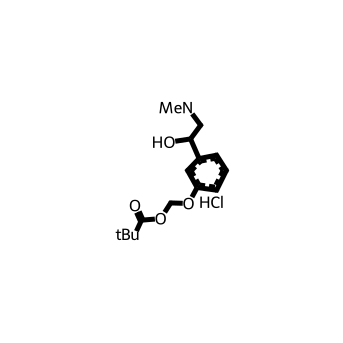 CNCC(O)c1cccc(OCOC(=O)C(C)(C)C)c1.Cl